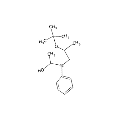 CC(CN(c1ccccc1)C(C)O)OC(C)(C)C